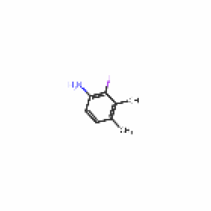 Cc1ccc(N)c(I)c1C